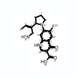 CC=C(CN)C1CCCN1c1cc2[nH]cc(C(=O)O)c(=O)c2cc1F